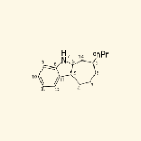 CCCC1CCCc2c([nH]c3ccccc23)C1